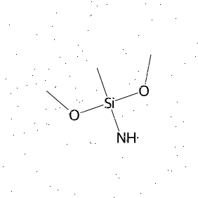 CO[Si](C)([NH])OC